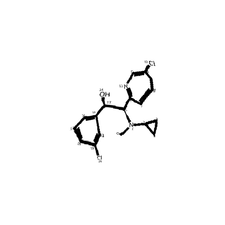 CN(C1CC1)[C@H](c1ccc(Cl)cn1)[C@H](O)c1cccc(Cl)c1